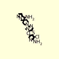 Cn1c(N2CCC3(CC2)Cn2nccc2[C@H]3N)ncc(Sc2ccnc(N)c2Cl)c1=O